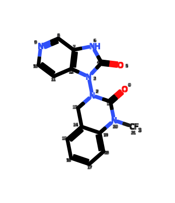 O=C1N(n2c(=O)[nH]c3cnccc32)Cc2ccccc2N1C(F)(F)F